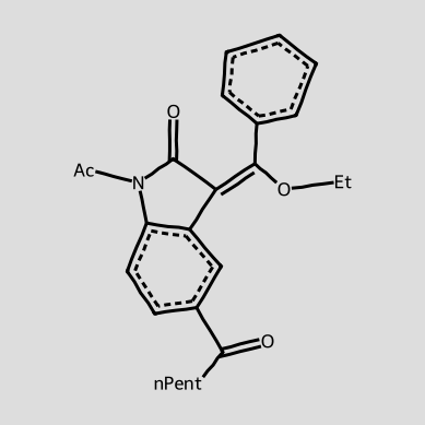 CCCCCC(=O)c1ccc2c(c1)/C(=C(\OCC)c1ccccc1)C(=O)N2C(C)=O